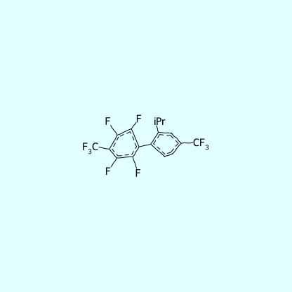 CC(C)c1cc(C(F)(F)F)ccc1-c1c(F)c(F)c(C(F)(F)F)c(F)c1F